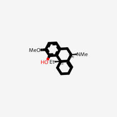 CC[C@]12CCCC=C1[C@H](NC)Cc1ccc(OC)c(O)c12